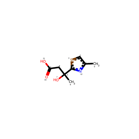 Cc1csc(C(C)(O)CC(=O)O)n1